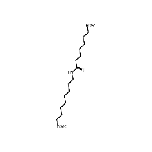 CCCCCCCCCCCCCCCCCCNC(=O)CCCCCCCCCCCCCCCC